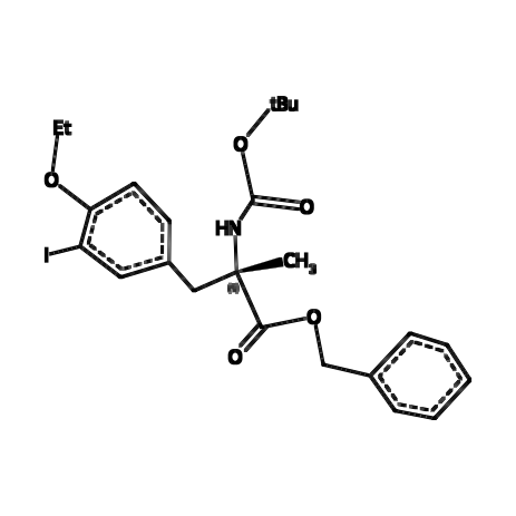 CCOc1ccc(C[C@](C)(NC(=O)OC(C)(C)C)C(=O)OCc2ccccc2)cc1I